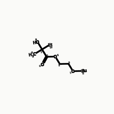 CCC(C)OCCOC(=O)C(C)(O)CC